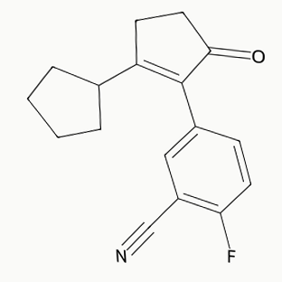 N#Cc1cc(C2=C(C3CCCC3)CCC2=O)ccc1F